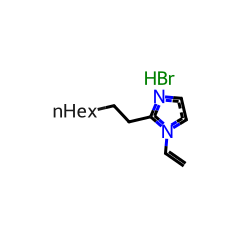 Br.C=Cn1ccnc1CCCCCCCC